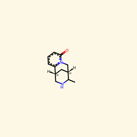 CC1NC[C@H]2C[C@@H]1Cn1c2cccc1=O